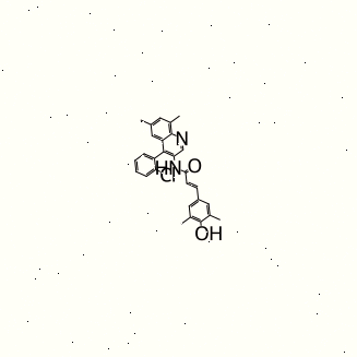 Cc1cc(C)c2ncc(NC(=O)C=Cc3cc(C)c(O)c(C)c3)c(-c3ccccc3Cl)c2c1